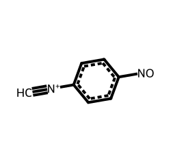 C#[N+]c1ccc(N=O)cc1